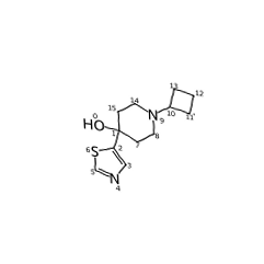 OC1(c2cncs2)CCN(C2[CH]CC2)CC1